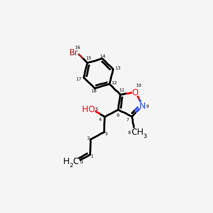 C=CCCC(O)c1c(C)noc1-c1ccc(Br)cc1